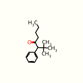 CCCCC(=O)[C](c1ccccc1)C(C)(C)C